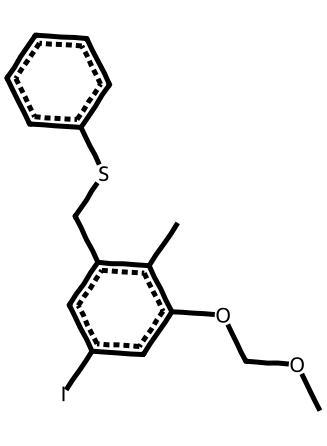 COCOc1cc(I)cc(CSc2ccccc2)c1C